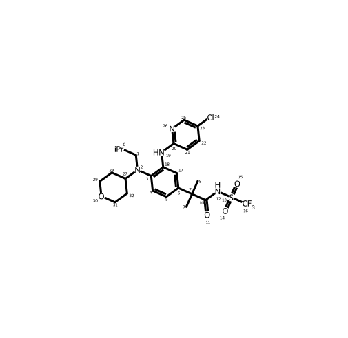 CC(C)CN(c1ccc(C(C)(C)C(=O)NS(=O)(=O)C(F)(F)F)cc1Nc1ccc(Cl)cn1)C1CCOCC1